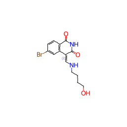 O=C1NC(=O)c2ccc(Br)cc2/C1=C/NCCCCO